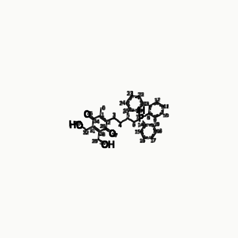 CC1=C(CCCC[PH](c2ccccc2)(c2ccccc2)c2ccccc2)C(=O)C(CO)=C(CO)C1=O